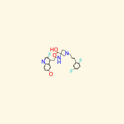 COc1ccc2ncc(F)c(CCNC3(C(=O)O)CCN(C/C=C/c4cc(F)ccc4F)C3)c2c1